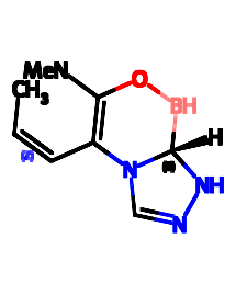 C/C=C\C1=C(NC)OB[C@@H]2NN=CN12